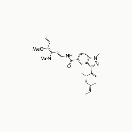 C=C/C(OC)=C(\C=C\NC(=O)c1ccc2c(c1)c(C(=C)/C(C)=C\C(C)=C/C)nn2C)NC